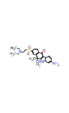 CCN(CC)CCS(=O)(=O)c1ccc2c(c1)C(C)(C)c1[nH]c3cc(N)ccc3c1C2=O